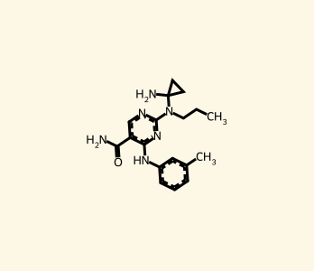 CCCN(c1ncc(C(N)=O)c(Nc2cccc(C)c2)n1)C1(N)CC1